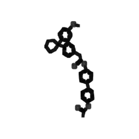 COc1ccc(C2(c3ccc(CC(=O)Oc4ccc(-c5ccc(OC(C)=O)cc5)cc4)cc3)CCCCC2)cc1